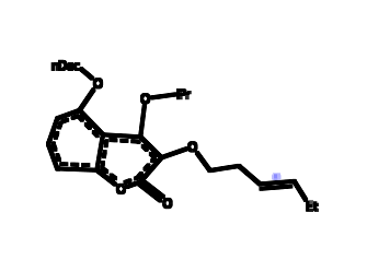 CC/C=C/CCOc1c(OC(C)C)c2c(OCCCCCCCCCC)cccc2oc1=O